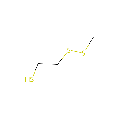 CSSCCS